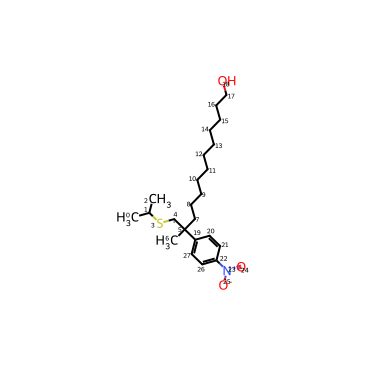 CC(C)S[CH]C(C)(CCCCCCCCCCCO)c1ccc([N+](=O)[O-])cc1